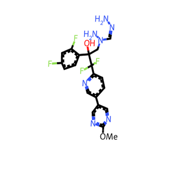 COc1ncc(-c2ccc(C(F)(F)C(O)(CN(N)/C=N\N)c3ccc(F)cc3F)nc2)cn1